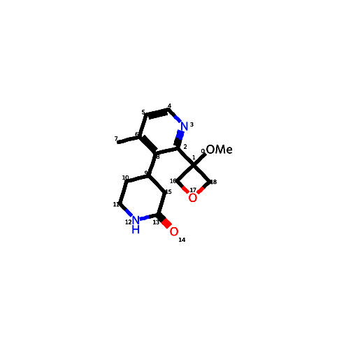 COC1(c2nccc(C)c2C2CCNC(=O)C2)COC1